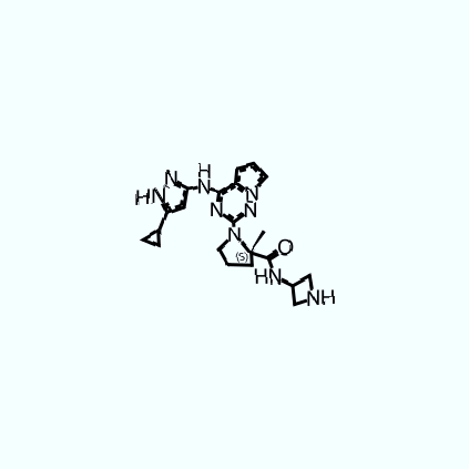 C[C@@]1(C(=O)NC2CNC2)CCCN1c1nc(Nc2cc(C3CC3)[nH]n2)c2cccn2n1